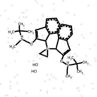 C[SiH](OC1=Cc2ccccc2[CH]1[Zr]1([CH]2C(O[SiH](C)C(C)(C)C)=Cc3ccccc32)[CH2][CH2]1)C(C)(C)C.Cl.Cl